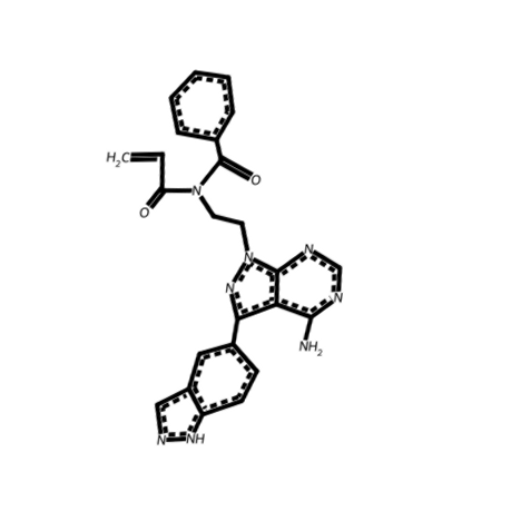 C=CC(=O)N(CCn1nc(-c2ccc3[nH]ncc3c2)c2c(N)ncnc21)C(=O)c1ccccc1